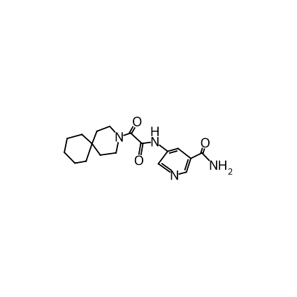 NC(=O)c1cncc(NC(=O)C(=O)N2CCC3(CCCCC3)CC2)c1